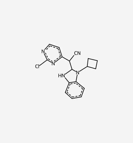 N#CC(c1ccnc(Cl)n1)C1Nc2ccccc2N1C1CCC1